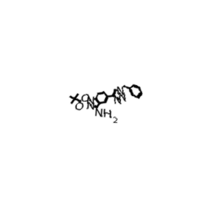 CC(C)(C)C(=O)On1nc(N)c2cc(-c3cn(Cc4ccccc4)nn3)ccc21